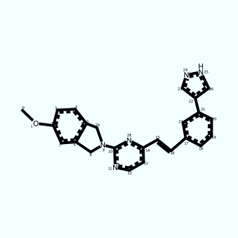 COc1ccc2c(c1)CN(c1nccc(C=Cc3cccc(-c4cn[nH]c4)c3)n1)C2